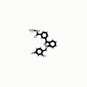 NNC(=O)c1cccc(-c2nn(Cc3ccc(F)cc3F)c3ccccc23)c1